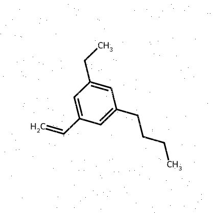 C=[C]c1cc(CC)cc(CCCC)c1